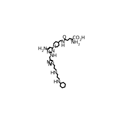 Nc1cc(N2CCC(CNC(=O)CC[C@H](N)C(=O)O)CC2)nc(NCc2cn(CCCNCCCNC3CCCCC3)nn2)n1